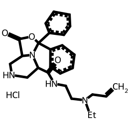 C=CCN(CC)CCNC(=O)C1CNCC2C(=O)OC(c3ccccc3)(c3ccccc3)N12.Cl